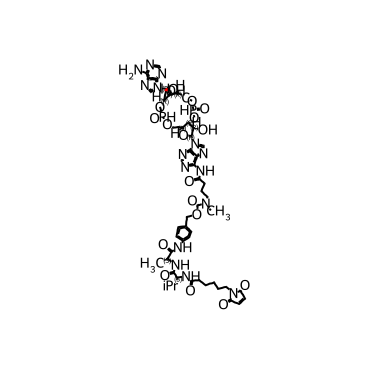 CC(C)[C@H](NC(=O)CCCCCN1C(=O)C=CC1=O)C(=O)N[C@@H](C)C(=O)Nc1ccc(COC(=O)N(C)CCCC(=O)Nc2ncnc3c2ncn3[C@@H]2O[C@@H]3CO[PH](=O)O[C@@H]4[C@H](O)[C@@H](CO[PH](=O)O[C@H]3[C@H]2O)O[C@H]4n2cnc3c(N)ncnc32)cc1